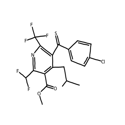 COC(=O)c1c(C(F)F)nc(C(F)(F)F)c(C(=S)c2ccc(Cl)cc2)c1CC(C)C